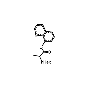 CCCCCCC(C)C(=O)Oc1cccc2cccnc12